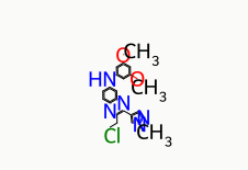 COc1cc(Nc2ccc3nc(CCCl)c(-c4cnn(C)c4)nc3c2)cc(OC)c1